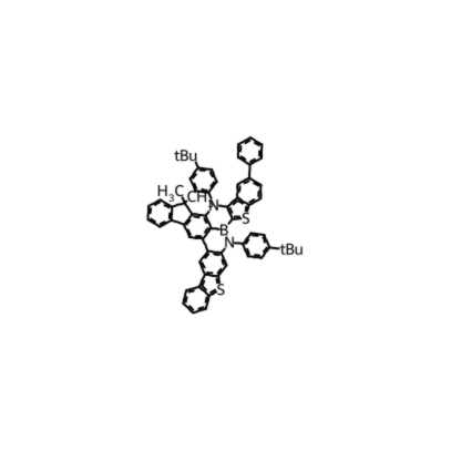 CC(C)(C)c1ccc(N2B3c4sc5ccc(-c6ccccc6)cc5c4N(c4ccc(C(C)(C)C)cc4)c4c3c(cc3c4C(C)(C)c4ccccc4-3)-c3cc4c(cc32)sc2ccccc24)cc1